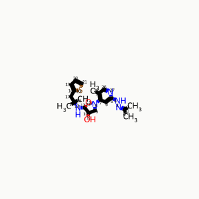 CC(C)=NNc1cc(N2CC(O)C(NC(C)(C)Cc3cccs3)O2)c(C)cn1